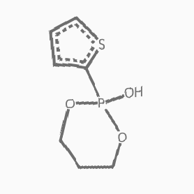 O[P]1(c2cccs2)OCCCO1